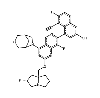 C#Cc1c(F)ccc2cc(O)cc(-c3ncc4c(N5CC6COCC5C6)nc(OC[C@@]56CCCN5C[C@H](F)C6)nc4c3F)c12